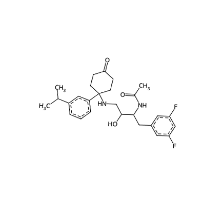 CC(=O)NC(Cc1cc(F)cc(F)c1)C(O)CNC1(c2cccc(C(C)C)c2)CCC(=O)CC1